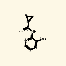 CC(C)(C)c1cccnc1NC(=O)C1CC1